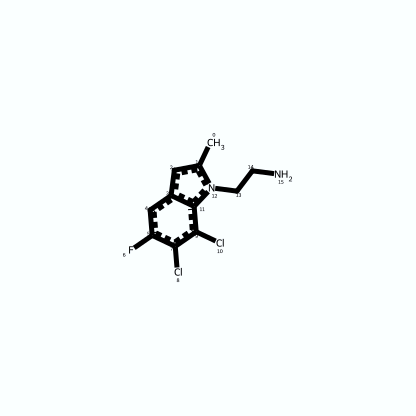 Cc1cc2cc(F)c(Cl)c(Cl)c2n1CCN